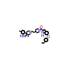 C=Cc1ccc(Oc2ccc3cc(C(=O)N4CCC(CCN5CCC6(CNc7cc(C)ccc76)C(C)C5)CC4)[nH]c3c2)cc1